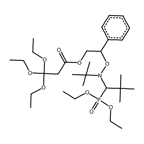 CCOC(CC(=O)OCC(ON(C(C(C)(C)C)P(=O)(OCC)OCC)C(C)(C)C)c1ccccc1)(OCC)OCC